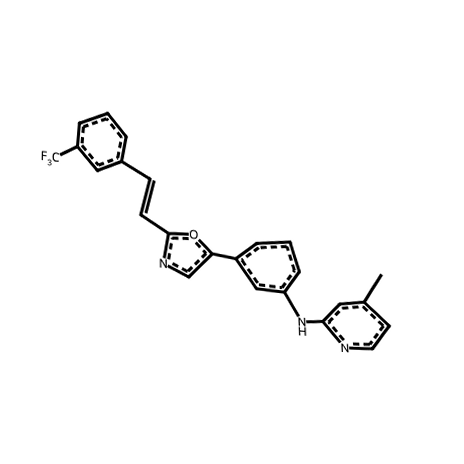 Cc1ccnc(Nc2cccc(-c3cnc(C=Cc4cccc(C(F)(F)F)c4)o3)c2)c1